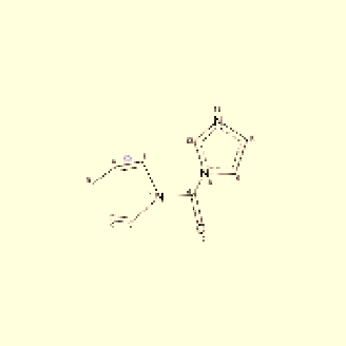 C=CN(/C=C\C)C(=O)n1ccnc1